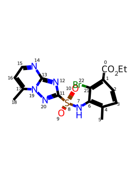 CCOC(=O)c1ccc(C)c(NS(=O)(=O)c2nc3nccc(C)n3n2)c1Br